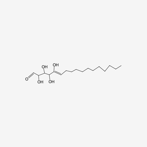 CCCCCCCCCCCC=C(O)C(O)C(O)C(O)C=O